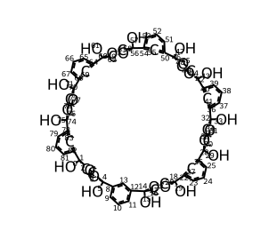 OC12COC(O)(CO1)c1cccc(c1)C1(O)COC(O)(CO1)c1cccc(c1)C1(O)COC(O)(CO1)c1cccc(c1)C1(O)COC(O)(CO1)c1cccc(c1)C1(O)COC(O)(CO1)c1cccc(c1)C1(O)COC(O)(CO1)c1cccc2c1